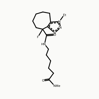 CCn1nnc2c1CCCCCC2(F)C(=O)NCCCCCC(=O)NC